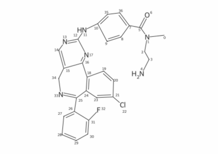 CN(CCN)C(=O)c1ccc(Nc2ncc3c(n2)-c2ccc(Cl)cc2C(c2ccccc2F)=NC3)cc1